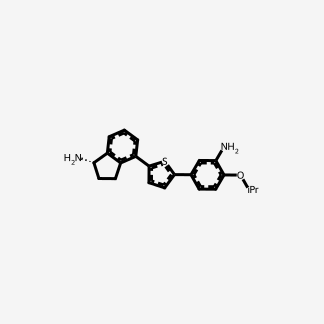 CC(C)Oc1ccc(-c2ccc(-c3cccc4c3CC[C@@H]4N)s2)cc1N